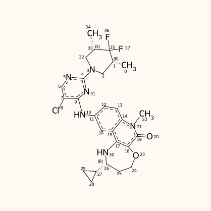 C[C@@H]1CN(c2ncc(Cl)c(Nc3ccc4c(c3)c3c(c(=O)n4C)OCC[C@H](C4CC4)N3)n2)C[C@H](C)C1(F)F